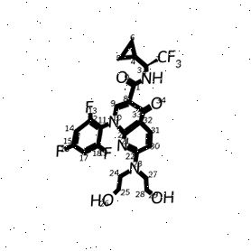 O=C(N[C@@H](C1CC1)C(F)(F)F)c1cn(-c2c(F)cc(F)cc2F)c2nc(N(CCO)CCO)ccc2c1=O